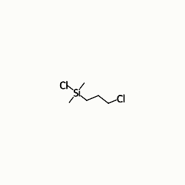 C[Si](C)(Cl)CCCCl